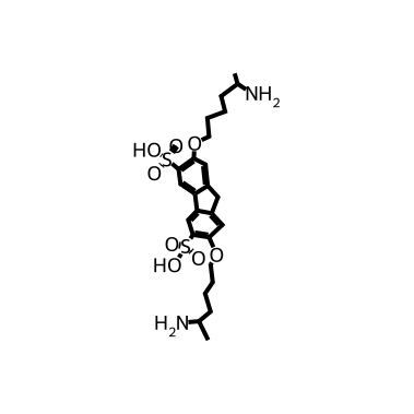 CC(N)CCCCOc1cc2c(cc1S(=O)(=O)O)-c1cc(S(=O)(=O)O)c(OCCCCC(C)N)cc1C2